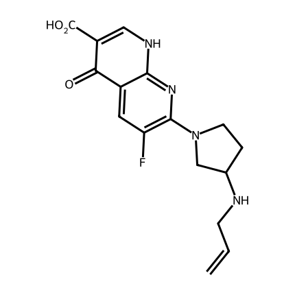 C=CCNC1CCN(c2nc3[nH]cc(C(=O)O)c(=O)c3cc2F)C1